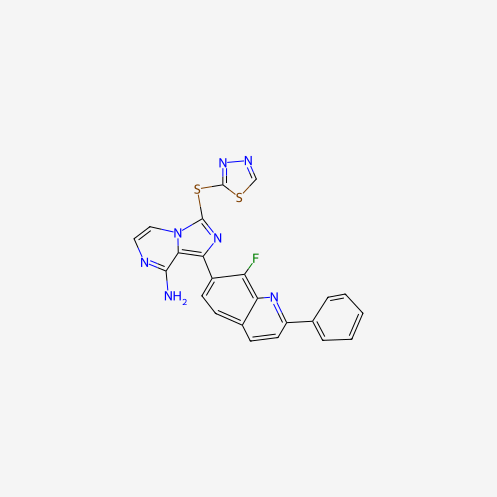 Nc1nccn2c(Sc3nncs3)nc(-c3ccc4ccc(-c5ccccc5)nc4c3F)c12